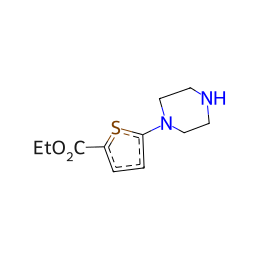 CCOC(=O)c1ccc(N2CCNCC2)s1